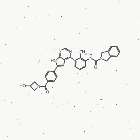 Cc1c(NC(=O)N2Cc3ccccc3C2)cccc1-c1ncnc2[nH]c(-c3ccc(C(=O)N4CC(O)C4)cc3)cc12